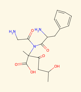 CC(O)CC(=O)C(C)(C(=O)O)N(C(=O)CN)C(=O)C(N)Cc1ccccc1